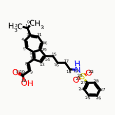 CC(C)c1ccc2c(C=CC(=O)O)cc(CCCCNS(=O)(=O)c3ccccc3)c-2cc1